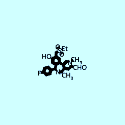 CCS(=O)(=O)Cc1cc2c(cc1O)C(c1ccc(F)cc1)=N[C@@H](C)C1=CC(C=O)N(C)C=C12